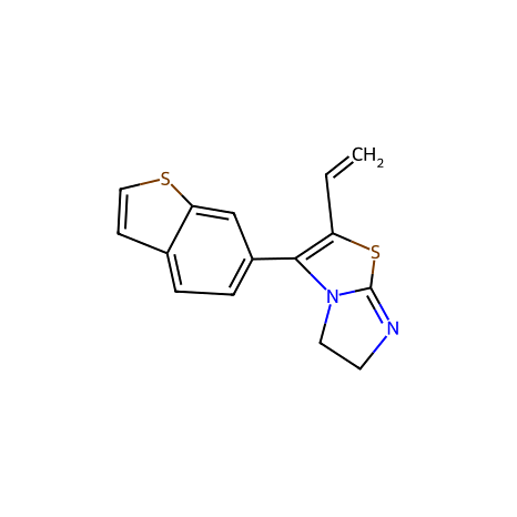 C=CC1=C(c2ccc3ccsc3c2)N2CCN=C2S1